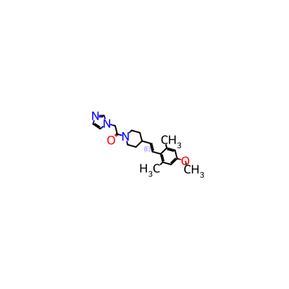 COc1cc(C)c(/C=C/C2CCN(C(=O)Cn3ccnc3)CC2)c(C)c1